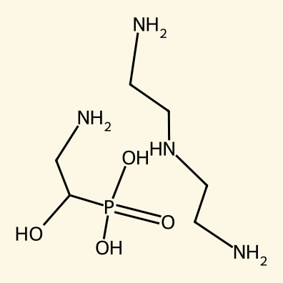 NCC(O)P(=O)(O)O.NCCNCCN